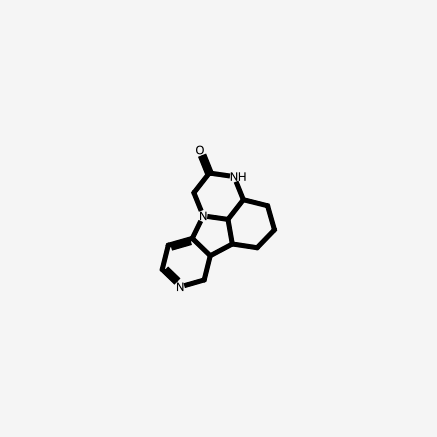 O=C1CN2C3=CC=NCC3C3CCCC(N1)C32